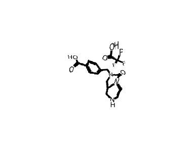 O=C(O)C(F)(F)F.O=C(O)c1ccc(CN2CC3CNCCN3C2=O)cc1